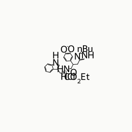 CCCCc1nc(CC(C(=O)N[C@@H](Cc2c[nH]c3ccccc23)C(=O)OCC)c2ccc3c(c2)OCO3)c[nH]1.Cl